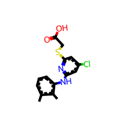 Cc1cccc(Nc2cc(Cl)cc(SCC(=O)O)n2)c1C